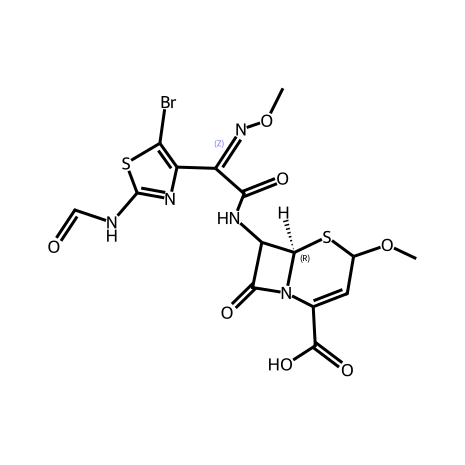 CO/N=C(\C(=O)NC1C(=O)N2C(C(=O)O)=CC(OC)S[C@H]12)c1nc(NC=O)sc1Br